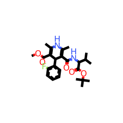 COC(=O)C1=C(C)NC(C)=C(C(=O)NC(C(=O)OC(C)(C)C)C(C)C)C1c1ccccc1F